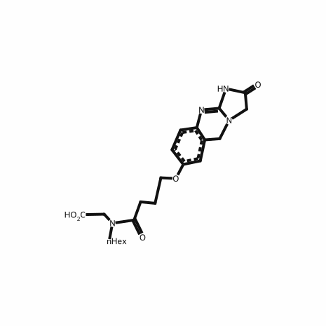 CCCCCCN(CC(=O)O)C(=O)CCCOc1ccc2c(c1)CN1CC(=O)NC1=N2